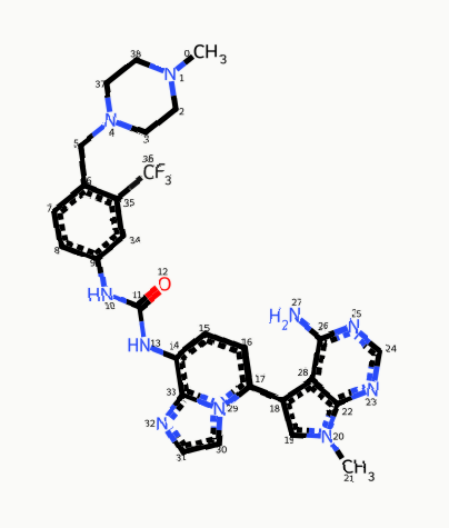 CN1CCN(Cc2ccc(NC(=O)Nc3ccc(-c4cn(C)c5ncnc(N)c45)n4ccnc34)cc2C(F)(F)F)CC1